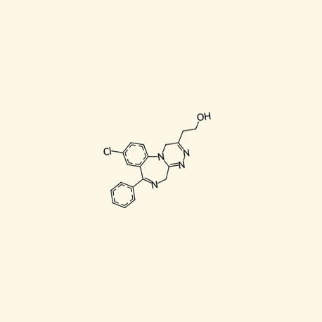 OCCC1=NN=C2CN=C(c3ccccc3)c3cc(Cl)ccc3N2C1